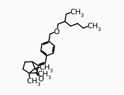 CCCCC(CC)COCc1ccc(C=C2C(=O)C3(C)CCC2C3(C)C)cc1